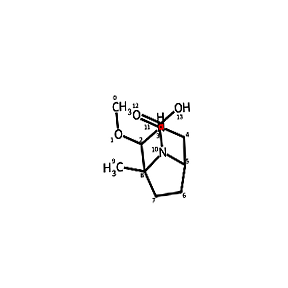 COC1NCC2CCC1(C)N2C(=O)O